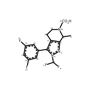 CC1c2nn(C(F)F)c(-c3cc(F)cc(F)c3)c2CCN1C(=O)O